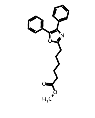 COC(=O)CCCCCc1nc(-c2ccccc2)c(-c2ccccc2)o1